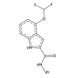 CC(C)NC(=O)c1cc2c(OC(F)F)cccc2[nH]1